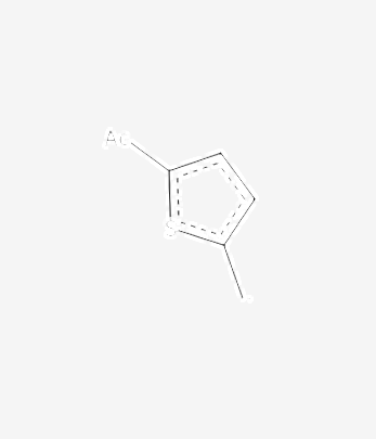 [CH2]c1ccc(C(C)=O)s1